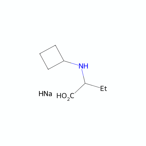 CCC(NC1CCC1)C(=O)O.[NaH]